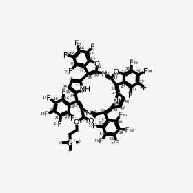 C[N+](C)(C)CCOC1Oc2nc1c(-c1c(F)c(F)c(F)c(F)c1F)c1ccc([nH]1)c1c(nc3oc4c(F)c(F)c(F)c(F)c4c3c3ccc([nH]3)c2-c2c(F)c(F)c(F)c(F)c2F)oc2c(F)c(F)c(F)c(F)c21